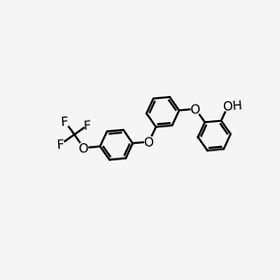 Oc1ccccc1Oc1cccc(Oc2ccc(OC(F)(F)F)cc2)c1